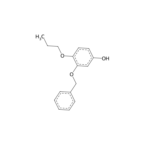 CCCOc1ccc(O)cc1OCc1ccccc1